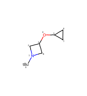 CC(C)(C)N1CC(OC2CC2)C1